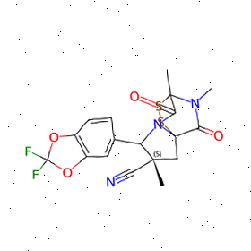 CN1C(=O)C23C[C@](C)(C#N)C(c4ccc5c(c4)OC(F)(F)O5)N2C(=O)C1(C)SS3